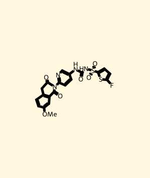 COc1ccc2c(c1)C(=O)N(c1ccc(NC(=O)NS(=O)(=O)c3ccc(F)s3)cn1)C(=O)C2